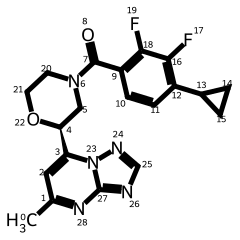 Cc1cc([C@@H]2CN(C(=O)c3ccc(C4CC4)c(F)c3F)CCO2)n2ncnc2n1